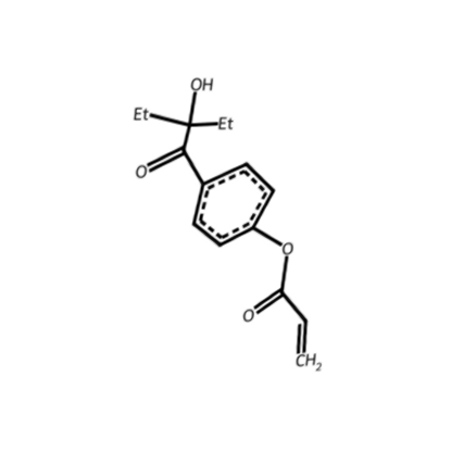 C=CC(=O)Oc1ccc(C(=O)C(O)(CC)CC)cc1